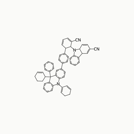 N#CC1=CC2c3ccccc3N(C3C(C#N)=CC=CC3c3ccc(-c4ccc5c(c4)C(c4ccccc4)(C4C=CCCC4)c4ccccc4N5C4=CCCC=C4)cc3)C2C=C1